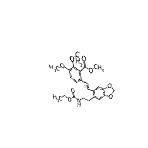 CCOC(=O)NCCc1cc2c(cc1/C=C/c1ccc(OC)c(OC)c1C(=O)OC)OCO2